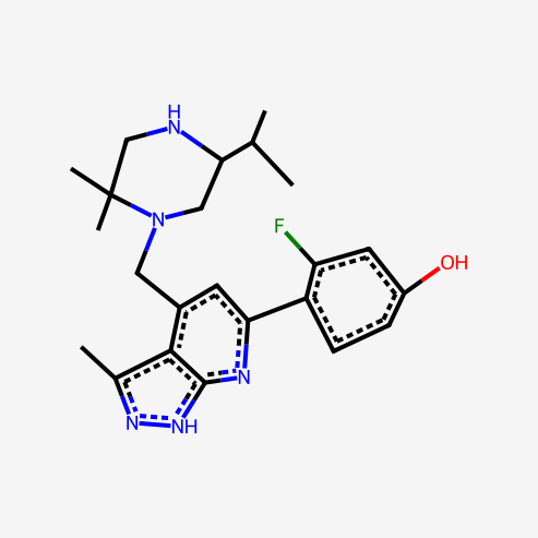 Cc1n[nH]c2nc(-c3ccc(O)cc3F)cc(CN3CC(C(C)C)NCC3(C)C)c12